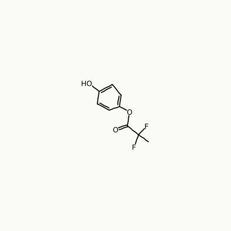 CC(F)(F)C(=O)Oc1ccc(O)cc1